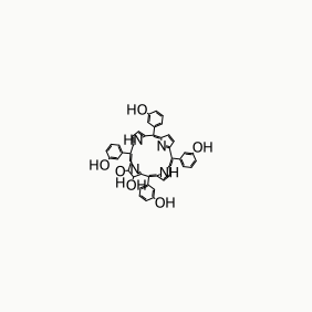 Oc1cccc(-c2c3nc(c(-c4cccc(O)c4)c4ccc([nH]4)c(-c4cccc(O)c4)c4nc(c(-c5cccc(O)c5)c5ccc2[nH]5)C(O)C4O)C=C3)c1